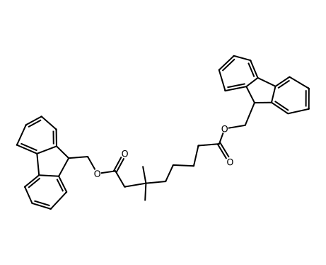 CC(C)(CCCCC(=O)OCC1c2ccccc2-c2ccccc21)CC(=O)OCC1c2ccccc2-c2ccccc21